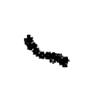 CC1(C)[C@H](NC(=O)c2ccc(N3CCC(CN4CCC(n5ncc6c(N7CCC(=O)NC7=O)ccnc65)CC4)CC3)cn2)C(C)(C)[C@H]1Oc1ccc(C#N)c2ncccc12